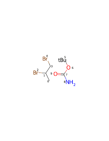 CC(Br)CBr.CC(C)(C)OC(N)=O